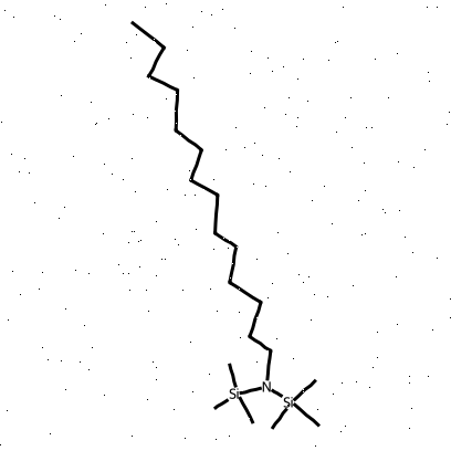 CCCCCCCCCCCCCCN([Si](C)(C)C)[Si](C)(C)C